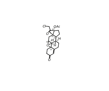 CC(=O)O[C@]1(C(=O)CCl)CC[C@H]2[C@@H]3CCC4=CC(=O)CC[C@]4(C)[C@@]34O[C@H]4C[C@@]21C